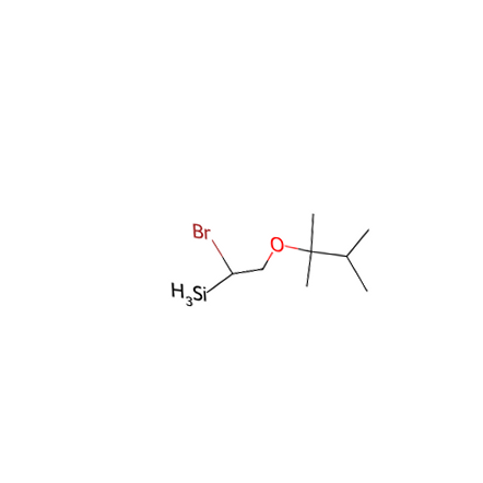 CC(C)C(C)(C)OCC([SiH3])Br